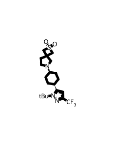 CC(C)(C)n1nc(C(F)(F)F)cc1[C@H]1CC[C@H](N2CCC3(C2)CS(=O)(=O)C3)CC1